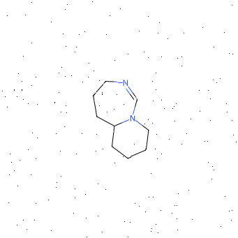 C1=NCCCC2CCCCN12